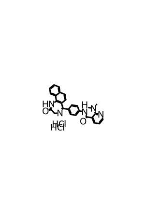 CN(C)c1ncccc1C(=O)Nc1ccc(C2=NCC(=O)Nc3c2ccc2ccccc32)cc1.Cl.Cl